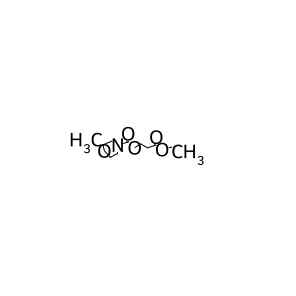 CCOC(=O)CCOC(=O)N1CCOC(C)C1